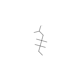 [CH2]C(C)CC(C)(C)C(C)(C)CC